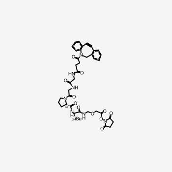 CC[C@H](C)[C@H](NC(=O)[C@@H]1CCCN1C(=O)CNC(=O)CNC(=O)CCC(=O)N1Cc2ccccc2C#Cc2ccccc21)C(=O)NCOCC(=O)ON1C(=O)CCC1=O